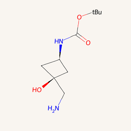 CC(C)(C)OC(=O)N[C@H]1C[C@](O)(CN)C1